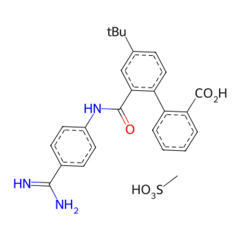 CC(C)(C)c1ccc(-c2ccccc2C(=O)O)c(C(=O)Nc2ccc(C(=N)N)cc2)c1.CS(=O)(=O)O